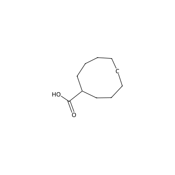 O=C(O)C1CCCCCCCC1